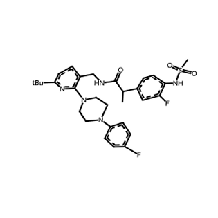 CC(C(=O)NCc1ccc(C(C)(C)C)nc1N1CCN(c2ccc(F)cc2)CC1)c1ccc(NS(C)(=O)=O)c(F)c1